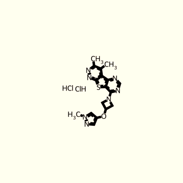 Cc1nnc2sc3c(N4CC(Oc5cnn(C)c5)C4)ncnc3c2c1C.Cl.Cl